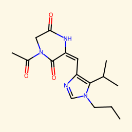 CCCn1cnc(C=C2NC(=O)CN(C(C)=O)C2=O)c1C(C)C